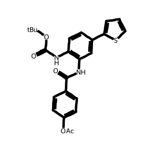 CC(=O)Oc1ccc(C(=O)Nc2cc(-c3cccs3)ccc2NC(=O)OC(C)(C)C)cc1